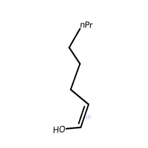 CCCCCC/C=C\O